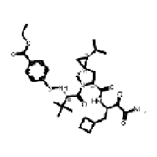 CCOC(=O)c1ccc(SN[C@H](C(=O)N2C[C@]3(C[C@H]2C(=O)NC(CC2CCC2)C(=O)C(N)=O)C[C@H]3C(C)C)C(C)(C)C)cc1